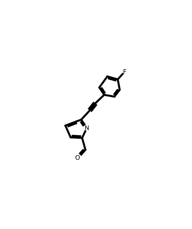 O=Cc1cccc(C#Cc2ccc(F)cc2)n1